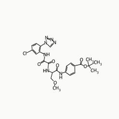 COCC(NC(=O)C(=O)Nc1cc(Cl)ccc1-n1cnnn1)C(=O)Nc1ccc(C(=O)OC(C)(C)C)cc1